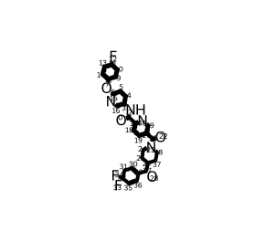 O=C(Nc1ccc(Oc2ccc(F)cc2)nc1)c1ccc(C(=O)N2CCC(C(=O)C3=CCC(F)(F)C=C3)CC2)cn1